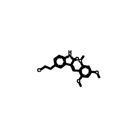 COc1cc(OC)c(C=C2C(=O)Nc3ccc(CCCl)cc32)c(OC)c1